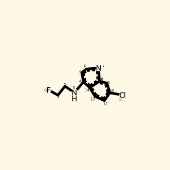 FCCNc1ccnc2cc(Cl)ccc12